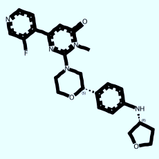 Cn1c(N2CCO[C@@H](c3ccc(N[C@@H]4CCOC4)cc3)C2)nc(-c2ccncc2F)cc1=O